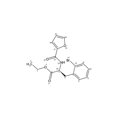 CCOC(=O)[C@H](Cc1ccccc1Br)NC(=O)c1ccco1